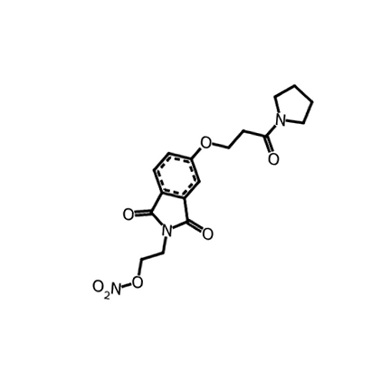 O=C(CCOc1ccc2c(c1)C(=O)N(CCO[N+](=O)[O-])C2=O)N1CCCC1